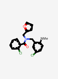 CNc1ccc(Cl)cc1CN(Cc1ccco1)C(=O)c1ccccc1Cl